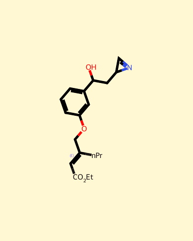 CCC/C(=C\C(=O)OCC)COc1cccc(C(O)CC2C=N2)c1